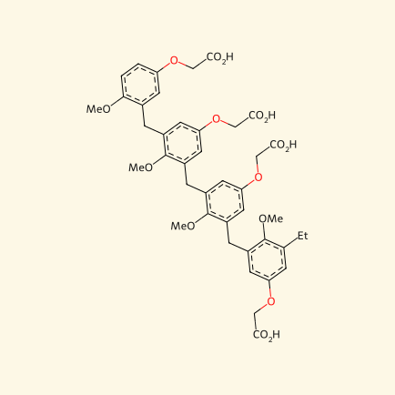 CCc1cc(OCC(=O)O)cc(Cc2cc(OCC(=O)O)cc(Cc3cc(OCC(=O)O)cc(Cc4cc(OCC(=O)O)ccc4OC)c3OC)c2OC)c1OC